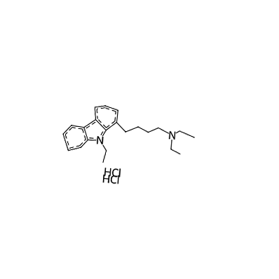 CCN(CC)CCCCc1cccc2c3ccccc3n(CC)c12.Cl.Cl